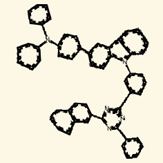 c1ccc(-c2nc(-c3cccc(-n4c5ccccc5c5cc(-c6ccc(N(c7ccccc7)c7ccccc7)cc6)ccc54)c3)nc(-c3ccc4ccccc4c3)n2)cc1